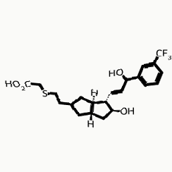 O=C(O)CSCCC1C[C@H]2C[C@H](O)[C@@H](C=CC(O)c3cccc(C(F)(F)F)c3)[C@@H]2C1